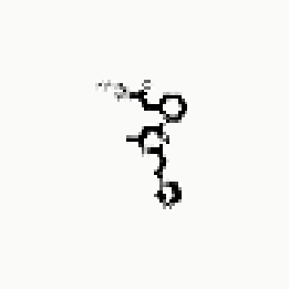 CCCCCCNC(=O)CC1CCCCN1c1cc(C)nc(CCn2ccnc2)n1